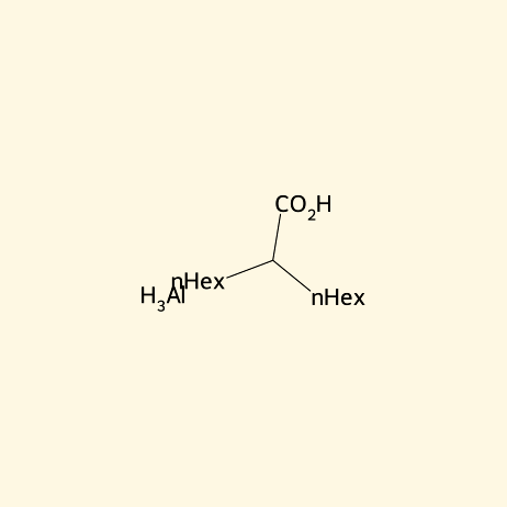 CCCCCCC(CCCCCC)C(=O)O.[AlH3]